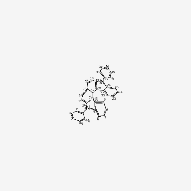 c1ccc(-n2c3ccccc3c3c4c(ccc32)ccc2c4c3ccccc3n2-c2ccncc2)cc1